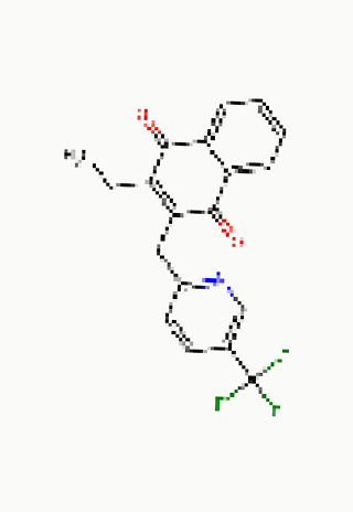 CCC1=C(Cc2ccc(C(F)(F)F)cn2)C(=O)c2ccccc2C1=O